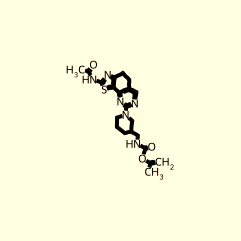 C=C(C)OC(=O)NCC1CCCN(c2ncc3c(n2)-c2sc(NC(C)=O)nc2CC3)C1